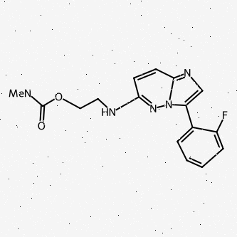 CNC(=O)OCCNc1ccc2ncc(-c3ccccc3F)n2n1